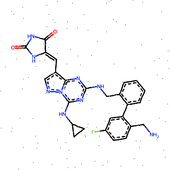 NCc1ccc(F)cc1-c1ccccc1CNc1nc(NC2CC2)n2ncc(/C=C3\NC(=O)NC3=O)c2n1